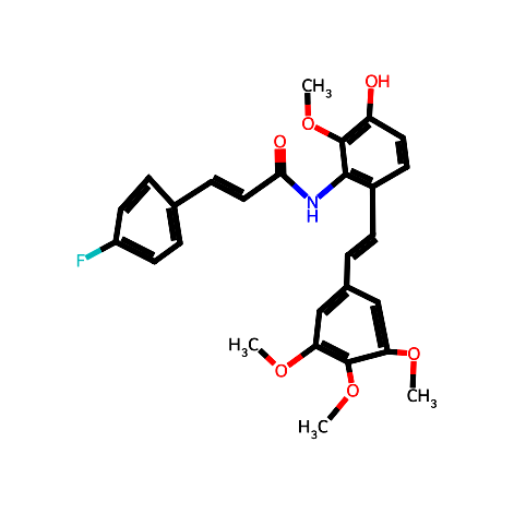 COc1cc(/C=C/c2ccc(O)c(OC)c2NC(=O)/C=C/c2ccc(F)cc2)cc(OC)c1OC